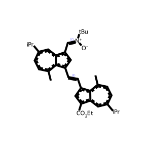 CCOC(=O)c1cc(/C=C/c2cc(/C=[N+](\[O-])C(C)(C)C)c3cc(C(C)C)ccc(C)c2-3)c2c(C)ccc(C(C)C)cc1-2